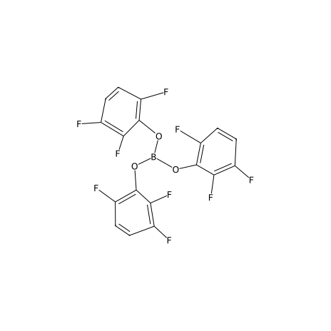 Fc1ccc(F)c(OB(Oc2c(F)ccc(F)c2F)Oc2c(F)ccc(F)c2F)c1F